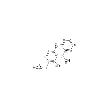 CCc1c(CC(=O)O)ccc2c1C(O)c1ccccc1O2